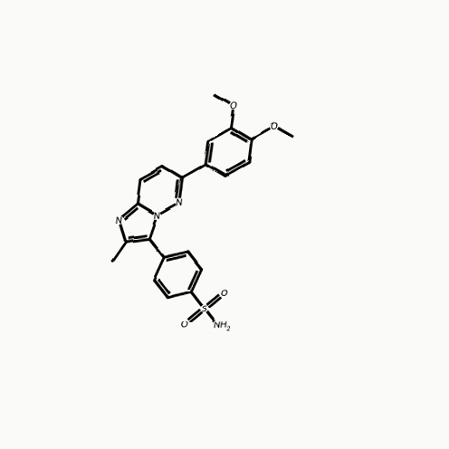 COc1ccc(-c2ccc3nc(C)c(-c4ccc(S(N)(=O)=O)cc4)n3n2)cc1OC